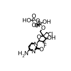 Nc1ccn(C2O[C@](CCl)(COP(=O)(O)OP(=O)(O)O)[C@@H](O)[C@H]2F)c(=O)n1